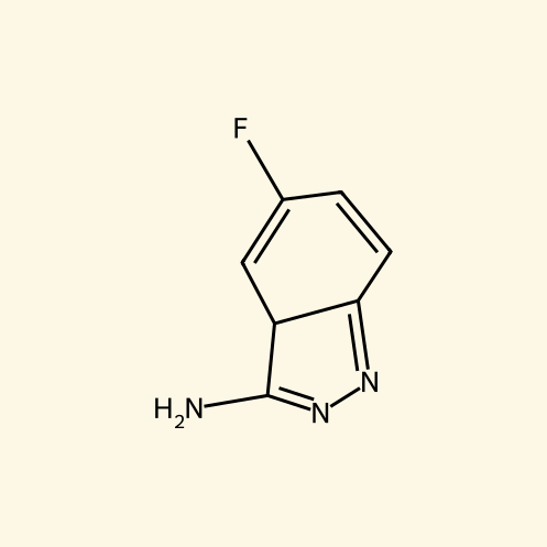 NC1=NN=C2C=CC(F)=CC12